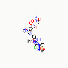 Cc1cc(Nc2ncc(Cl)c(Nc3ccccc3S(=O)(=O)C(C)C)n2)c(OC(C)C)cc1N1CCC(CN2C3CC2CN(c2ccc4c(c2)C(=O)N(C2CCC(=O)NC2=O)C4=O)C3)CC1